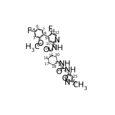 COc1cc(F)ccc1-c1cc(NC(=O)[C@H]2CCC[C@@H](NC(=O)Nc3cc(C)no3)C2)ncc1F